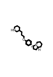 c1cc([C@H]2CC[C@H]3CCCCN32)ccc1OCCCC1CCCNC1